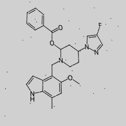 COc1cc(C)c2[nH]ccc2c1CN1CCC(n2cc(F)cn2)CC1OC(=O)c1ccccc1